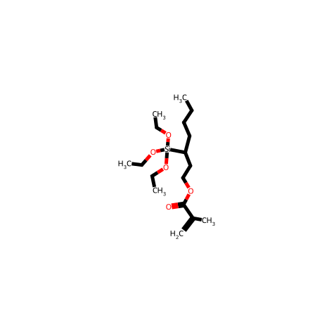 C=C(C)C(=O)OCCC(CCCC)[Si](OCC)(OCC)OCC